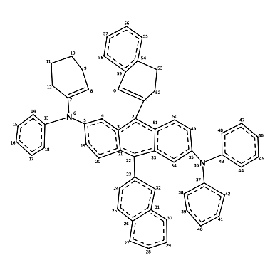 C1=C(c2c3cc(N(C4=CCCCC4)c4ccccc4)ccc3c(-c3ccc4ccccc4c3)c3cc(N(c4ccccc4)c4ccccc4)ccc23)CCc2ccccc21